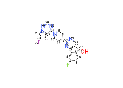 CC(O)(c1ccc(F)cc1)c1cnc(C2=CCN(c3ncnn4cc(I)cc34)CC2)nc1